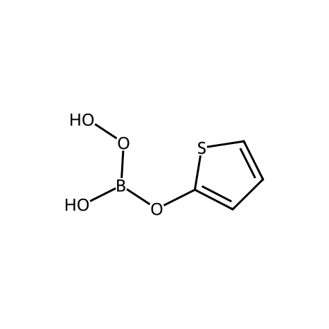 OOB(O)Oc1cccs1